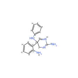 NC1=NCC(Nc2ccccc2)(c2ccccc2N)C=N1